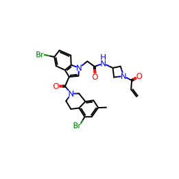 C=CC(=O)N1CC(NC(=O)Cn2cc(C(=O)N3CCc4c(Br)cc(C)cc4C3)c3cc(Br)ccc32)C1